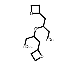 CCCCCCCCCCCC(CC1CCO1)OC(CCCCCCCCCCC)CC1CCO1